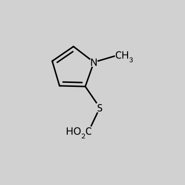 Cn1cccc1SC(=O)O